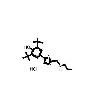 CCCNCc1nc(-c2cc(C(C)(C)C)c(O)c(C(C)(C)C)c2)cs1.Cl